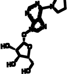 OC[C@H]1O[C@@H](On2cnc3c(N4CCCC4)ncnc32)[C@@H](O)[C@@H]1O